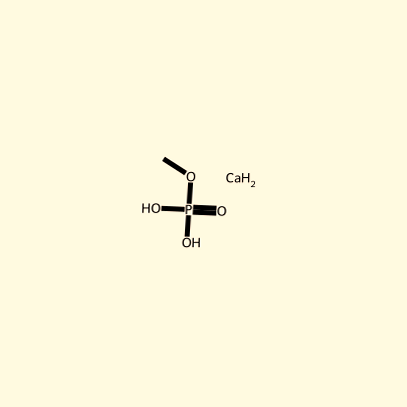 COP(=O)(O)O.[CaH2]